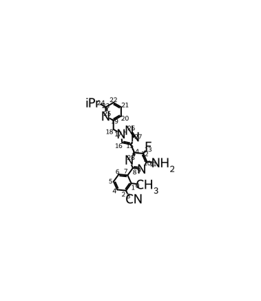 Cc1c(C#N)cccc1-c1nc(N)c(F)c(-c2cn(Cc3cccc(C(C)C)n3)nn2)n1